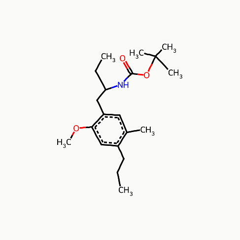 CCCc1cc(OC)c(CC(CC)NC(=O)OC(C)(C)C)cc1C